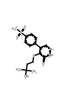 CC(C)(O)CCOc1c(-c2ccc(S(C)(=O)=O)cc2)cn[nH]c1=O